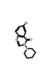 O=c1c2cc(Br)ccc2ncn1N1CCCCC1